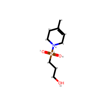 CC1=CCN(S(=O)(=O)CCCO)CC1